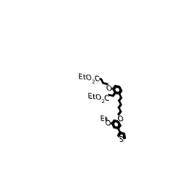 CCOC(=O)CCCOc1cccc(CCCCCCOc2cc(OCC)cc(-c3ccsc3)c2)c1CCC(=O)OCC